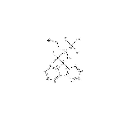 CC(C)(C)[Si](O[C@H](CCO)C(F)(F)F)(c1ccccc1)c1ccccc1